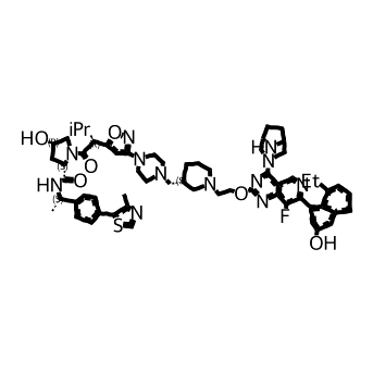 CCc1cccc2cc(O)cc(-c3ncc4c(N5CC6CCC(C5)N6)nc(OCCN5CCC[C@@H](CN6CCN(c7cc([C@H](C(=O)N8C[C@H](O)C[C@H]8C(=O)N[C@@H](C)c8ccc(-c9scnc9C)cc8)C(C)C)on7)CC6)C5)nc4c3F)c12